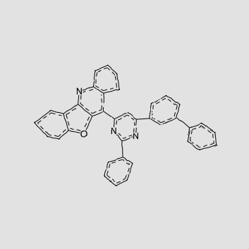 c1ccc(-c2cccc(-c3cc(-c4c5ccccc5nc5c4oc4ccccc45)nc(-c4ccccc4)n3)c2)cc1